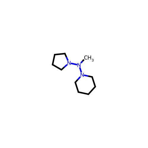 CN(N1CCCCC1)N1CCCC1